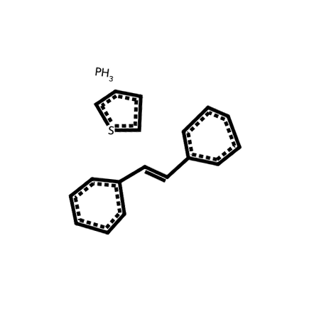 C(=Cc1ccccc1)c1ccccc1.P.c1ccsc1